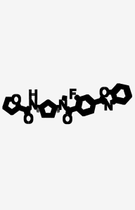 CN(C(=O)c1ccc(-c2nc3ccccc3o2)cc1F)[C@@H]1CC[C@H](NC(=O)C2CCCO2)C1